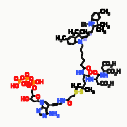 CC[N+]1=C(/C=C/C=C2/N(CCCCCCC(=O)NC(CCC(C)(C)SSCCC(=O)NCC#Cc3cn(C4CC(O)C(COP(=O)(O)OP(=O)(O)OP(=O)(O)O)O4)c4ncnc(N)c34)C(=O)NC(CC(=O)O)C(=O)NC(CC(=O)O)C(=O)O)c3ccc(C)cc3C2(C)C)C(C)(C)c2cc(C)ccc21